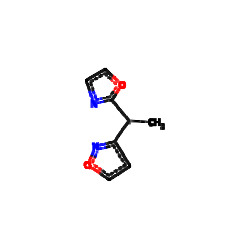 C[C](c1ccon1)c1ncco1